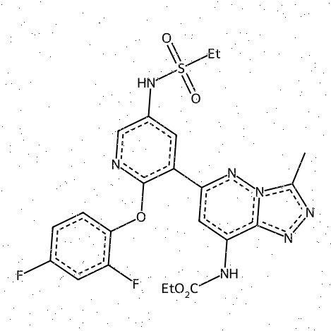 CCOC(=O)Nc1cc(-c2cc(NS(=O)(=O)CC)cnc2Oc2ccc(F)cc2F)nn2c(C)nnc12